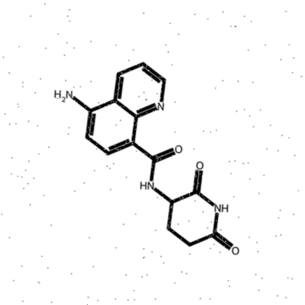 Nc1ccc(C(=O)NC2CCC(=O)NC2=O)c2ncccc12